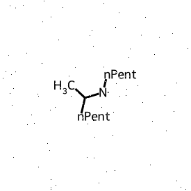 CCCCC[N]C(C)CCCCC